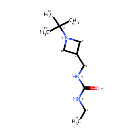 CCNC(=O)NCC1CN(C(C)(C)C)C1